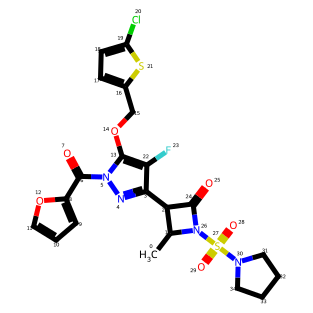 CC1C(c2nn(C(=O)c3ccco3)c(OCc3ccc(Cl)s3)c2F)C(=O)N1S(=O)(=O)N1CCCC1